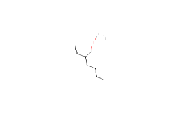 CCCCC(CC)C[O][Zn]